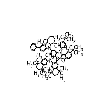 Cc1cc2c(cc1N1c3cc4c(cc3B3c5oc6ccc(C(C)(C)C)cc6c5N(c5ccc(C(C)(C)C)cc5)c5cc(N6c7ccc(-c8ccccc8)cc7C7(C)CCCCC(C)C67)cc1c53)C(C)(C)CCC4(C)C)C(C)(C)CCC2(C)C